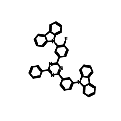 Fc1ccc(-c2nc(-c3ccccc3)nc(-c3cccc(-n4c5ccccc5c5ccccc54)c3)n2)cc1-n1c2ccccc2c2ccccc21